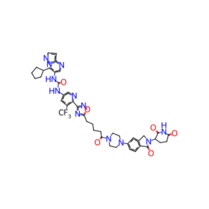 O=C1CCC(N2Cc3cc(N4CCN(C(=O)CCCCc5nc(-c6ncc(NC(=O)Nc7cnc8ccnn8c7C7CCCC7)cc6C(F)(F)F)no5)CC4)ccc3C2=O)C(=O)N1